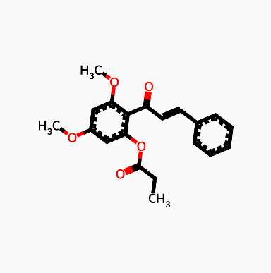 CCC(=O)Oc1cc(OC)cc(OC)c1C(=O)C=Cc1ccccc1